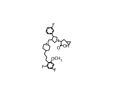 COc1cc(F)cc(F)c1CCCC1CCN(CC2CN(C(CC3CC3)C(=O)O)CC2c2cccc(F)c2)CC1